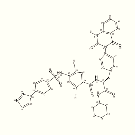 Cn1c(=O)n(-c2ccc(C[C@H](NC(=O)c3cc(F)c(NS(=O)(=O)c4ccc(-n5ccnn5)cc4)cc3F)C(=O)OC3CCCCC3)nc2)c(=O)c2ccncc21